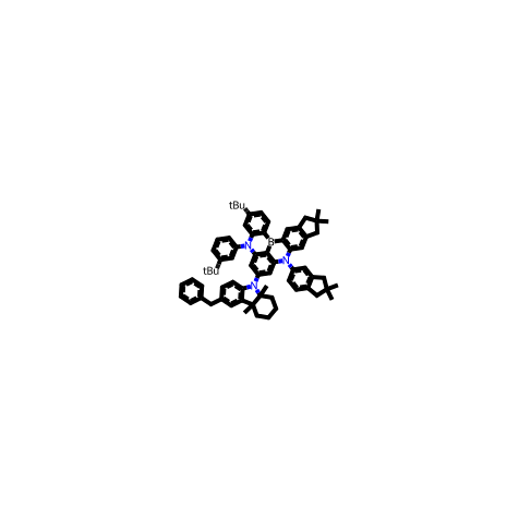 CC1(C)Cc2ccc(N3c4cc5c(cc4B4c6ccc(C(C)(C)C)cc6N(c6cccc(C(C)(C)C)c6)c6cc(N7c8ccc(Cc9ccccc9)cc8C8(C)CCCCC78C)cc3c64)CC(C)(C)C5)cc2C1